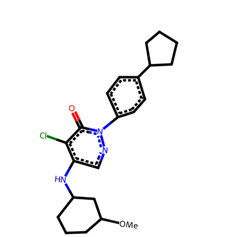 COC1CCCC(Nc2cnn(-c3ccc(C4CCCC4)cc3)c(=O)c2Cl)C1